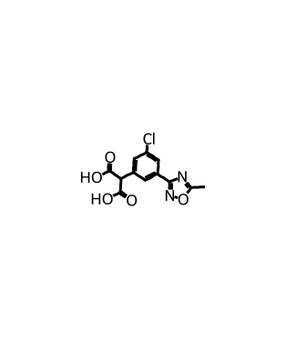 Cc1nc(-c2cc(Cl)cc(C(C(=O)O)C(=O)O)c2)no1